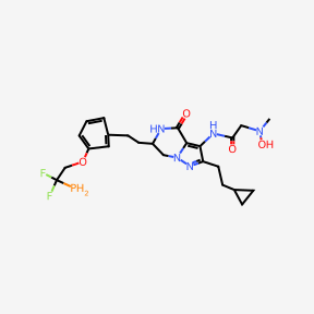 CN(O)CC(=O)Nc1c(CCC2CC2)nn2c1C(=O)NC(CCc1cccc(OCC(F)(F)P)c1)C2